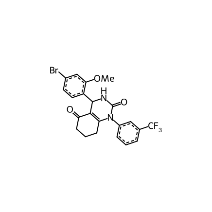 COc1cc(Br)ccc1C1NC(=O)N(c2cccc(C(F)(F)F)c2)C2=C1C(=O)CCC2